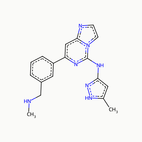 CNCc1cccc(-c2cc3nccn3c(Nc3cc(C)[nH]n3)n2)c1